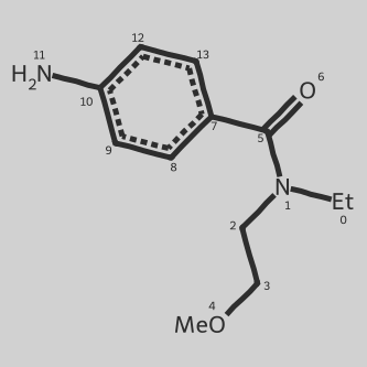 CCN(CCOC)C(=O)c1ccc(N)cc1